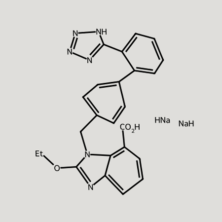 CCOc1nc2cccc(C(=O)O)c2n1Cc1ccc(-c2ccccc2-c2nnn[nH]2)cc1.[NaH].[NaH]